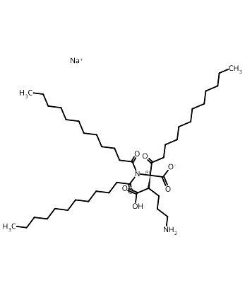 CCCCCCCCCCCC(=O)N(C(=O)CCCCCCCCCCC)[C@@](C(=O)[O-])(C(=O)CCCCCCCCCCC)C(CCCN)C(=O)O.[Na+]